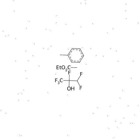 CCOC(C)=O.Cc1ccccc1.OC(F)(C(F)F)C(F)(F)F